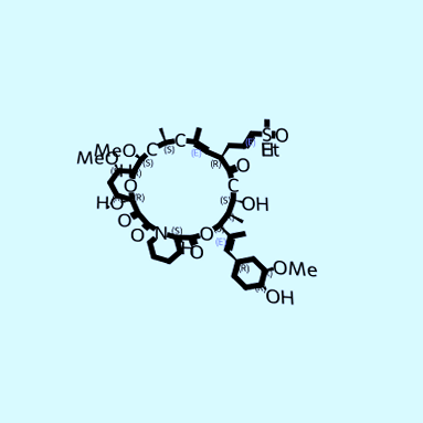 CC[SH](C)(=O)/C=C/C[C@@H]1/C=C(\C)C[C@H](C)C[C@H](OC)[C@H]2O[C@@](O)(C(=O)C(=O)N3CCCC[C@H]3C(=O)O[C@H](/C(C)=C/[C@@H]3CC[C@@H](O)[C@H](OC)C3)[C@H](C)[C@@H](O)CC1=O)[C@H](C)C[C@@H]2OC